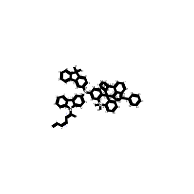 C=C/C=C\C=C(/C)n1c2ccccc2c2cc(N(c3ccc4c(c3)-c3ccccc3C4(C)C)c3ccc4c(c3)[Si](C)(C)c3ccccc3C43c4ccccc4-c4cccc5c(-c6ccccc6)ccc3c45)ccc21